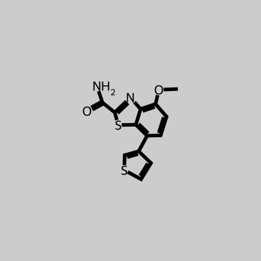 COc1ccc(-c2ccsc2)c2sc(C(N)=O)nc12